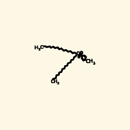 CCCCCCCCCCCCCCCCCC(CCCCCCCCCCCCCCCC)OS(=O)(=O)c1ccc(C)cc1